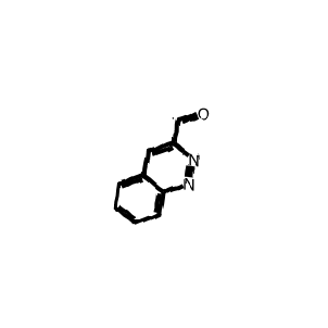 O=[C]c1cc2ccccc2nn1